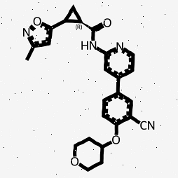 Cc1cc(C2C[C@H]2C(=O)Nc2cc(-c3ccc(OC4CCOCC4)c(C#N)c3)ccn2)on1